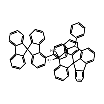 CC1(C)c2ccccc2C2(c3ccccc3-c3cccc(N(c4ccccc4)c4ccc(-c5cccc6c5-c5ccccc5C65c6ccccc6-c6ccccc65)cc4)c32)c2ccccc21